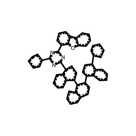 c1ccc(-c2nc(-c3ccc(-c4c(-c5ccc(-c6ccccc6)c6ccccc56)ccc5ccccc45)c4ccccc34)nc(-c3cccc4c3oc3ccccc34)n2)cc1